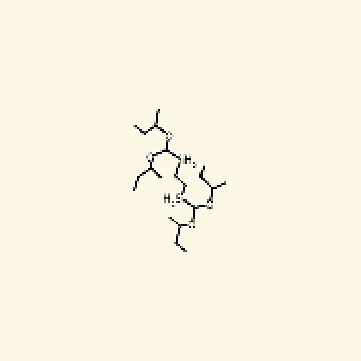 CCC(C)OC(OC(C)CC)[SiH2]CC[SiH2]C(OC(C)CC)OC(C)CC